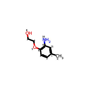 Cc1ccc(OCCO)c(N)c1